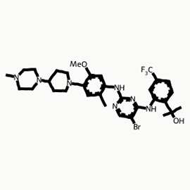 COc1cc(Nc2ncc(Br)c(Nc3cc(C(F)(F)F)ccc3C(C)(C)O)n2)c(C)cc1N1CCC(N2CCN(C)CC2)CC1